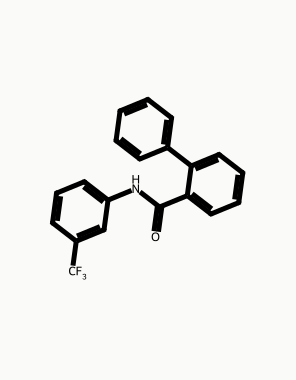 O=C(Nc1cccc(C(F)(F)F)c1)c1ccccc1-c1ccccc1